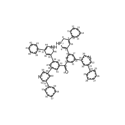 O=C(c1cc(C2=CPCC(c3ccccc3)=C2)cc(-c2cncc(-c3ccccc3)c2)c1)c1cc(C2=CC(c3ccccc3)=CNC2)cc(-c2cncc(-c3ccccc3)c2)c1